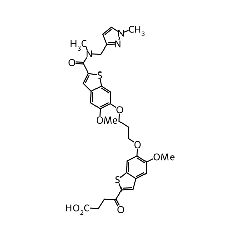 COc1cc2cc(C(=O)CCC(=O)O)sc2cc1OCCCOc1cc2sc(C(=O)N(C)Cc3ccn(C)n3)cc2cc1OC